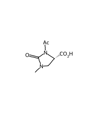 CC(=O)N1C(=O)N(C)C[C@H]1C(=O)O